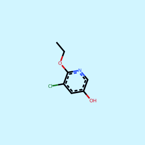 CCOc1ncc(O)cc1Cl